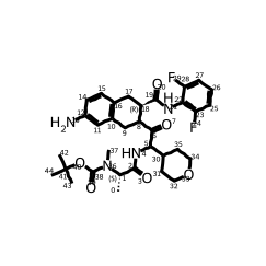 C[C@@H](C(=O)NC(C(=O)C1Cc2cc(N)ccc2C[C@H]1C(=O)Nc1c(F)cccc1F)C1CCOCC1)N(C)C(=O)OC(C)(C)C